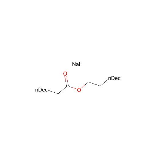 CCCCCCCCCCCCOC(=O)CCCCCCCCCCC.[NaH]